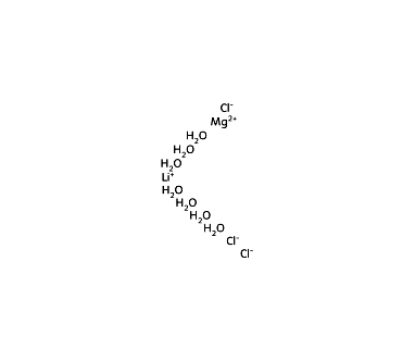 O.O.O.O.O.O.O.[Cl-].[Cl-].[Cl-].[Li+].[Mg+2]